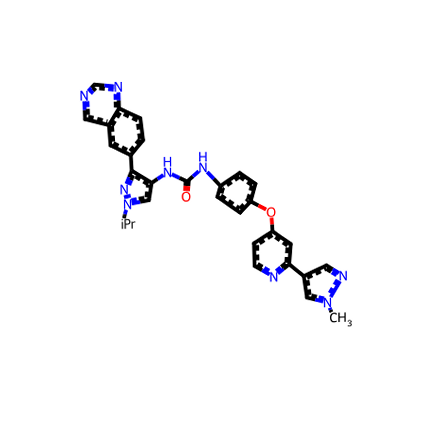 CC(C)n1cc(NC(=O)Nc2ccc(Oc3ccnc(-c4cnn(C)c4)c3)cc2)c(-c2ccc3ncncc3c2)n1